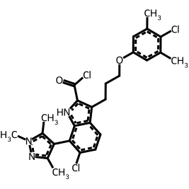 Cc1cc(OCCCc2c(C(=O)Cl)[nH]c3c(-c4c(C)nn(C)c4C)c(Cl)ccc23)cc(C)c1Cl